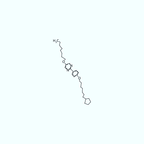 CCCCCCCCOc1cnc(-c2ccc(OCCCCCCCC3CCCC3)cc2)nc1